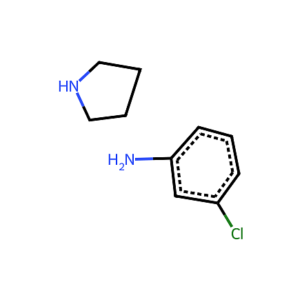 C1CCNC1.Nc1cccc(Cl)c1